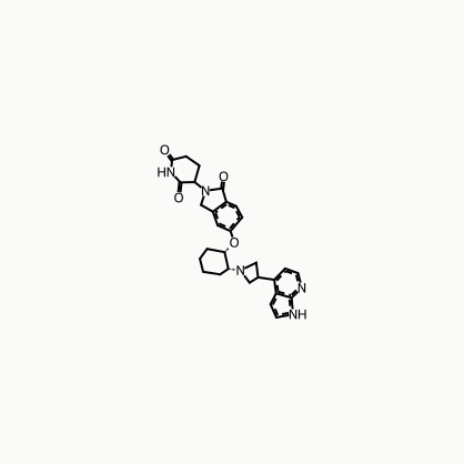 O=C1CCC(N2Cc3cc(O[C@H]4CCCC[C@H]4N4CC(c5ccnc6[nH]ccc56)C4)ccc3C2=O)C(=O)N1